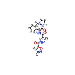 CCC(CNC(=O)c1onc(C)c1C)C(=O)N[C@@H]1C(=O)N2CCCN2Cc2ccccc21